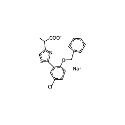 CC(C(=O)[O-])c1csc(-c2cc(Cl)ccc2OCc2ccccc2)n1.[Na+]